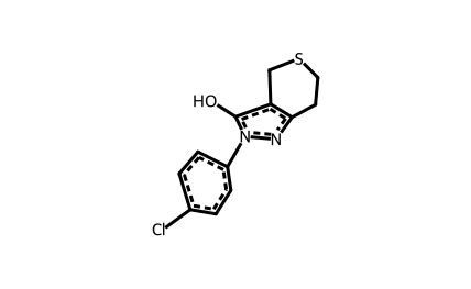 Oc1c2c(nn1-c1ccc(Cl)cc1)CCSC2